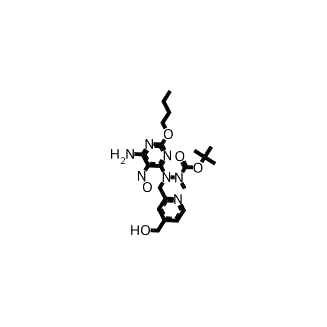 CCCCOc1nc(N)c(N=O)c(N(Cc2cc(CO)ccn2)N(C)C(=O)OC(C)(C)C)n1